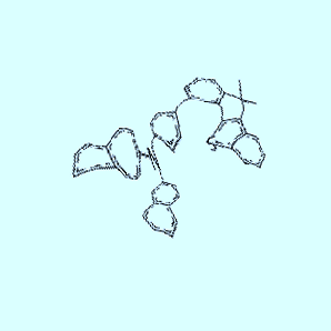 CC1(C)c2cccc(-c3ccc(N(c4ccc5ccccc5c4)c4ccc5ccccc5c4)cc3)c2-c2sc3ccccc3c21